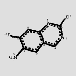 O=[N+]([O-])c1cc2cnc(Cl)nc2cc1F